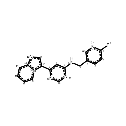 Fc1ccc(CNc2cc(-c3cnc4ccccn34)ncn2)cn1